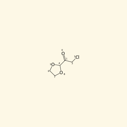 O=C(CCl)C1OCCO1